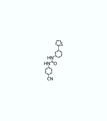 N#Cc1ccc(NC(=O)Nc2cccc(-c3cccs3)c2)cc1